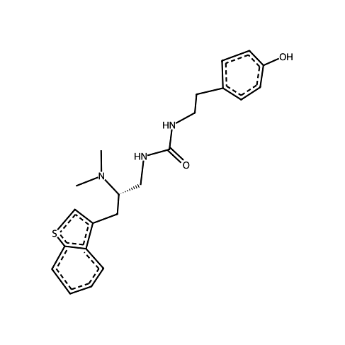 CN(C)[C@H](CNC(=O)NCCc1ccc(O)cc1)Cc1csc2ccccc12